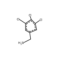 [SiH3]Cc1cc(Cl)c(Cl)c(Cl)c1